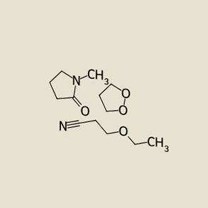 C1COOC1.CCOCCC#N.CN1CCCC1=O